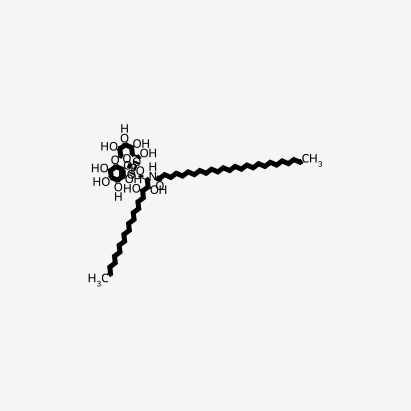 CCCCCCCCCCCCCCCCCCCCCCCCCC(=O)N[C@@H](COP(=O)(O)O[C@H]1C(O)C(O)C(O)[C@@H](O)C1O[C@H]1O[C@H](CO)[C@@H](O)C(O)C1O)[C@H](O)[C@H](O)CCCCCCCCCCCCCCCC